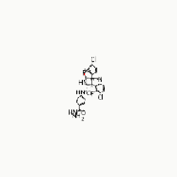 CC(C)(C)C[C@@H]1N[C@@H](C(=O)Nc2ccc(C(=O)NN)cc2)[C@H](c2cccc(Cl)c2F)[C@@]1(C#N)c1ccc(Cl)cc1F